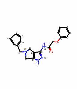 O=C(COc1ccccc1)Nc1n[nH]c2c1CN(Cc1ccccc1)C2